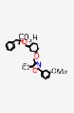 CCc1oc(-c2cccc(OC)c2)nc1CO[C@H]1CCCC(COC(C)(Cc2ccccc2)C(=O)O)C1